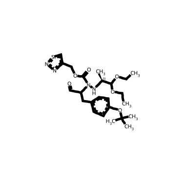 CCOC(OCC)[C@H](C)NN(C(=O)OCc1csnn1)C(C=O)Cc1ccc(OC(C)(C)C)cc1